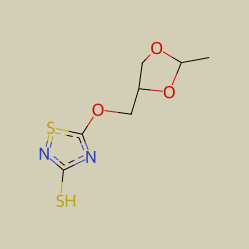 CC1OCC(COc2nc(S)ns2)O1